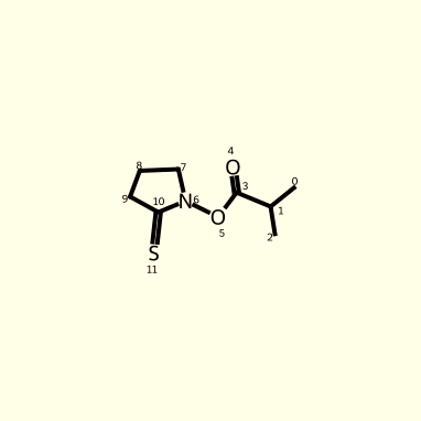 CC(C)C(=O)ON1CCCC1=S